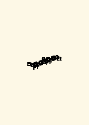 CCOc1ccc(-c2ccc(C(=O)OC3CCC(c4ccc(OCC)c(F)c4F)CC3)c(F)c2F)cc1